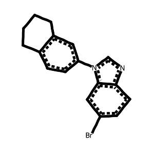 Brc1ccc2ncn(-c3ccc4c(c3)CCCC4)c2c1